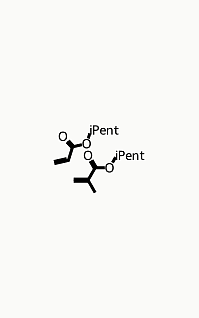 C=C(C)C(=O)OC(C)CCC.C=CC(=O)OC(C)CCC